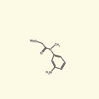 COCC(=O)N(C)c1cccc(N)c1